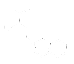 NC(CCc1ccc2ccccc2c1)C(=O)O